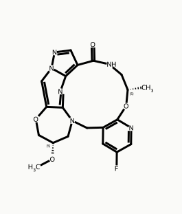 CO[C@@H]1COc2cn3ncc4c3nc2N(Cc2cc(F)cnc2O[C@@H](C)CNC4=O)C1